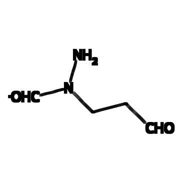 NN([C]=O)CCC=O